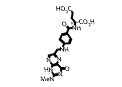 CNc1nc(=O)c2nc(CNc3ccc(C(=O)N[C@H](CCC(=O)O)C(=O)O)cc3)cnc2[nH]1